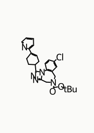 CC(C)(C)OC(=O)N1Cc2cc(Cl)ccc2-n2c(nnc2C2CC=C(c3ccccn3)CC2)C1